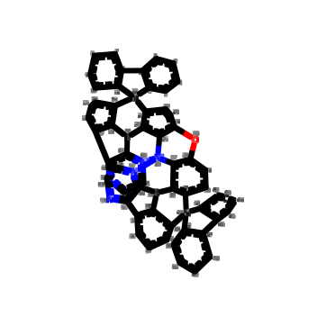 c1ccc2c(c1)-c1ccccc1[Si]21c2cccc3c2B2c4c1ccc1c4[N+]4(c5c(ccc6c5B5c7c(cccc7[Si]67c6ccccc6-c6ccccc67)-c6ncc[n+]4c65)O1)[n+]1ccnc-3c12